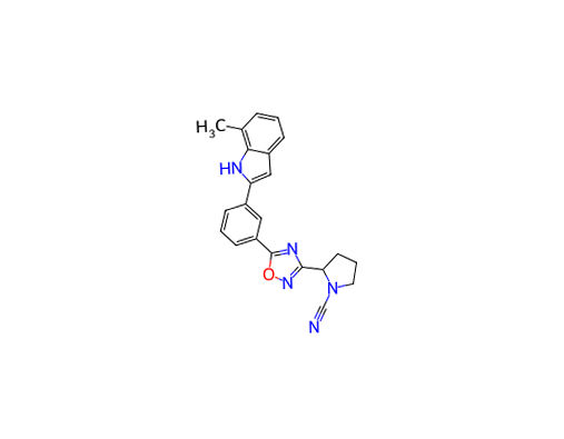 Cc1cccc2cc(-c3cccc(-c4nc(C5CCCN5C#N)no4)c3)[nH]c12